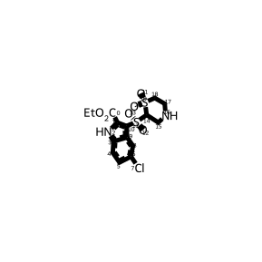 CCOC(=O)c1[nH]c2ccc(Cl)cc2c1S(=O)(=O)C1CNCCS1(=O)=O